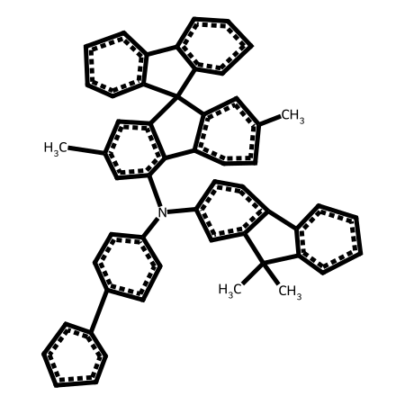 Cc1ccc2c(c1)C1(c3ccccc3-c3ccccc31)c1cc(C)cc(N(c3ccc(-c4ccccc4)cc3)c3ccc4c(c3)C(C)(C)c3ccccc3-4)c1-2